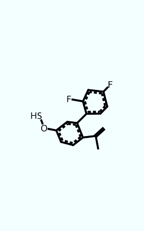 C=C(C)c1ccc(OS)cc1-c1ccc(F)cc1F